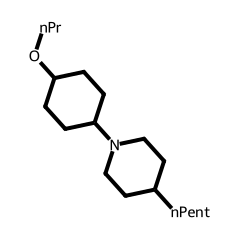 CCCCCC1CCN(C2CCC(OCCC)CC2)CC1